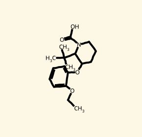 CCOc1ccccc1OC1CCCN(C(=O)O)C1C(C)(C)C